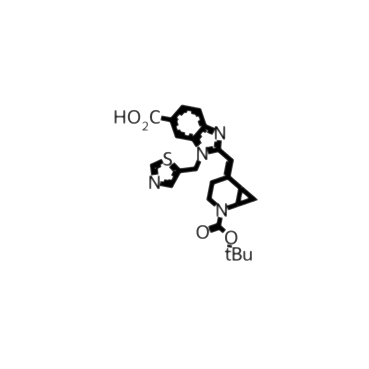 CC(C)(C)OC(=O)N1CCC(=Cc2nc3ccc(C(=O)O)cc3n2Cc2cncs2)C2CC21